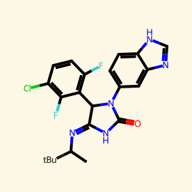 CC(N=C1NC(=O)N(c2ccc3[nH]cnc3c2)C1c1c(F)ccc(Cl)c1F)C(C)(C)C